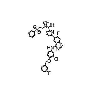 CCC(c1nc(-c2cc3c(Nc4ccc(OCc5cccc(F)c5)c(Cl)c4)ncnc3cc2F)cs1)N(C)CCS(=O)(=O)c1ccccc1